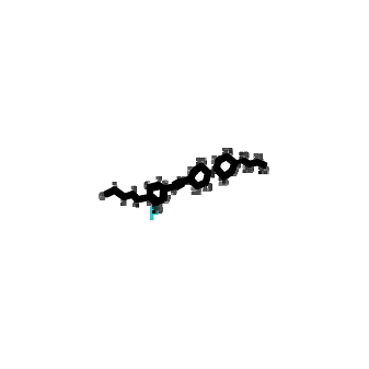 CCCCCc1ccc(C#CC2CCC([C@H]3CC[C@H](CCCC)CC3)CC2)cc1F